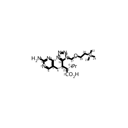 CC(C)[C@H](C(=O)O)[C@H](Cc1cnc(N)nc1)c1nnnn1COCC[Si](C)(C)C